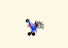 CC(=O)OCC1OC(n2cnc3c(NCC(c4ccccc4)c4ccccc4)nc(CNC(=O)NCCN4CCCCC4)nc32)C(OC(C)=O)C1OC(C)=O